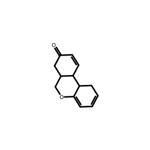 O=C1C=CC2C(COC3=CC=CCC32)C1